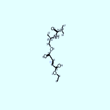 CCOC(=O)/C=C/C(=O)OC[C@@H](C)NC(=O)N(C)C